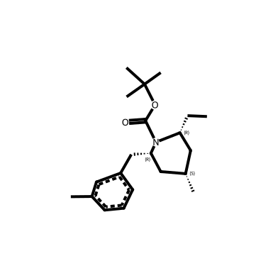 CC[C@@H]1C[C@H](C)C[C@H](Cc2cccc(C)c2)N1C(=O)OC(C)(C)C